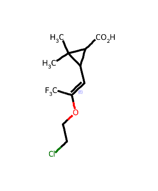 CC1(C)C(/C=C(/OCCCl)C(F)(F)F)C1C(=O)O